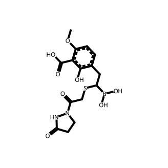 COc1ccc(CC(SCC(=O)N2CCC(=O)N2)B(O)O)c(O)c1C(=O)O